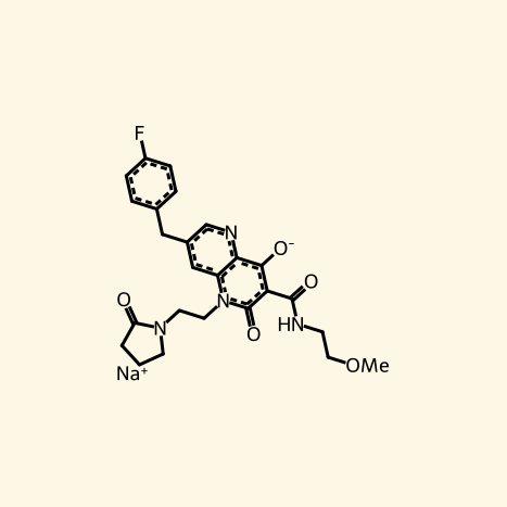 COCCNC(=O)c1c([O-])c2ncc(Cc3ccc(F)cc3)cc2n(CCN2CCCC2=O)c1=O.[Na+]